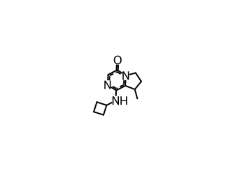 CC1CCn2c1c(NC1CCC1)ncc2=O